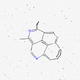 Cc1nc(C)c2cnc3cccc4ccc1c2c43